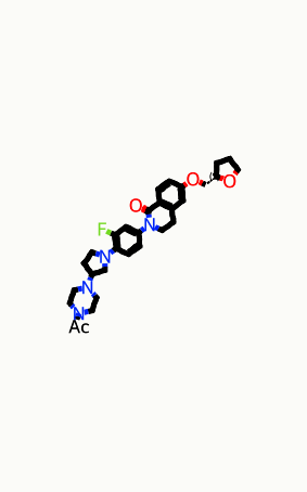 CC(=O)N1CCN(C2CCN(c3ccc(N4CCc5cc(OC[C@@H]6CCCO6)ccc5C4=O)cc3F)C2)CC1